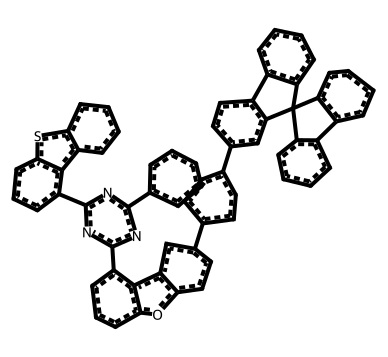 c1ccc(-c2nc(-c3cccc4oc5ccc(-c6ccc(-c7ccc8c(c7)C7(c9ccccc9-c9ccccc97)c7ccccc7-8)cc6)cc5c34)nc(-c3cccc4sc5ccccc5c34)n2)cc1